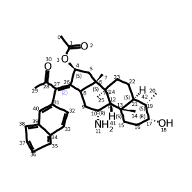 CC(=O)O[C@H]1C[C@@]2(C)C(C[C@@H](N)[C@H]3[C@@]4(C)CC[C@@H](O)[C@@H](C)[C@@H]4CC[C@@]32C)/C1=C(/C(C)=O)c1ccc2ccccc2c1